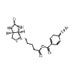 [N-]=[N+]=C1C=CC(C(=O)OC(=O)CCCC[C@@H]2SC[C@@H]3NC(=O)N[C@@H]32)=CC1